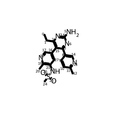 CCc1nc(N)nc(-c2ccc(C)nc2)c1-c1cnc(C)c(NS(C)(=O)=O)c1